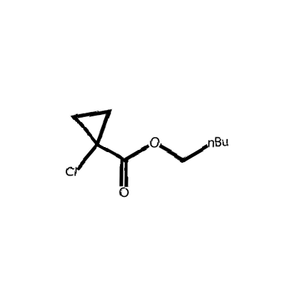 CCCCCOC(=O)C1(Cl)CC1